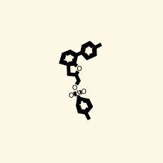 Cc1ccc(-c2cccc3c2OC(COS(=O)(=O)c2ccc(C)cc2)C3)cc1